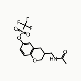 CC(=O)NCC1COc2ccc(OS(=O)(=O)C(F)(F)F)cc2C1